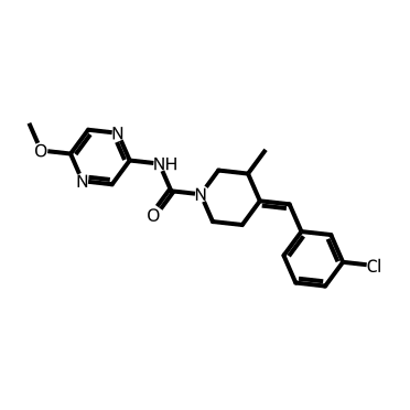 COc1cnc(NC(=O)N2CC/C(=C\c3cccc(Cl)c3)C(C)C2)cn1